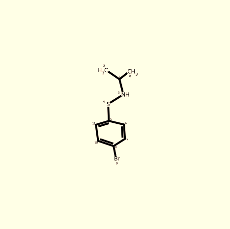 CC(C)NSc1ccc(Br)cc1